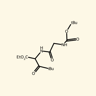 CCOC(=O)C(NC(=O)CNC(=O)OC(C)(C)C)C(=O)C(C)CC